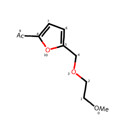 COCCOCc1ccc(C(C)=O)o1